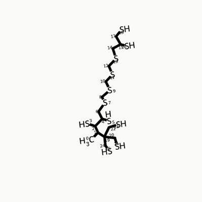 CC(C(S)C(S)CSCSCSCSCC(S)CS)C(CS)(CS)CS